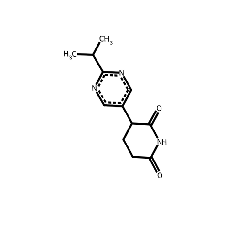 CC(C)c1ncc(C2CCC(=O)NC2=O)cn1